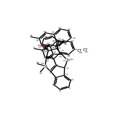 Cc1cc(C2=C3c4ccccc4[CH]2[Zr+2][CH]2C(c4cc(C)cc5ccccc45)=C(c4ccccc42)[Si]3(C)C)c2ccccc2c1.[Cl-].[Cl-]